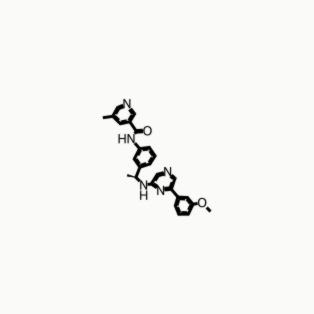 COc1cccc(-c2cncc(N[C@@H](C)c3cccc(NC(=O)c4cncc(C)c4)c3)n2)c1